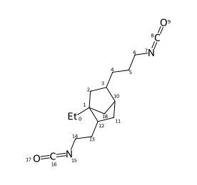 CCC12CC(CCCN=C=O)C(CC1CCN=C=O)C2